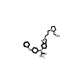 NC(=O)N(c1ccc(Oc2ccccc2)cc1)c1ccc2cn(CCCN3CCC[C@H]3CO)nc2c1